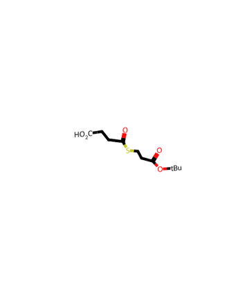 CC(C)(C)OC(=O)CCSC(=O)CCC(=O)O